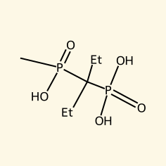 CCC(CC)(P(C)(=O)O)P(=O)(O)O